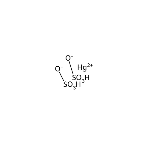 O=S(=O)([O-])O.O=S(=O)([O-])O.[Hg+2]